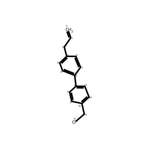 C=CCc1ccc(-c2ccc(CCl)cc2)cc1